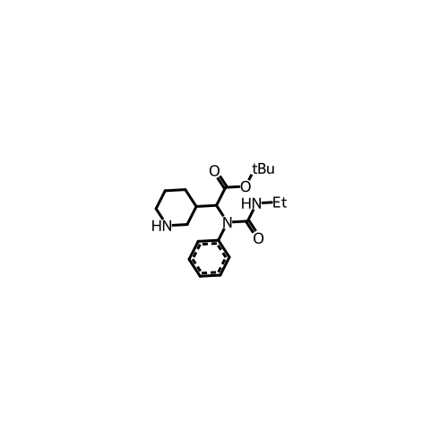 CCNC(=O)N(c1ccccc1)C(C(=O)OC(C)(C)C)C1CCCNC1